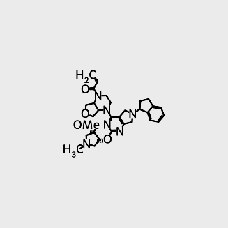 C=CC(=O)N1CCN(c2nc(O[C@@H]3CN(C)C[C@H]3OC)nc3c2CN(C2CCc4ccccc42)C3)C2COCC21